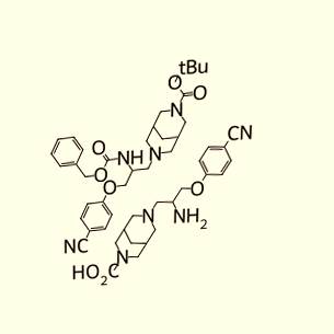 CC(C)(C)OC(=O)N1CC2CC(CN(CC(COc3ccc(C#N)cc3)NC(=O)OCc3ccccc3)C2)C1.N#Cc1ccc(OCC(N)CN2CC3CC(C2)CN(C(=O)O)C3)cc1